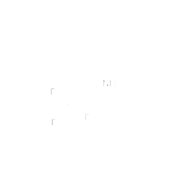 FC(F)(F)C12C=CC(C=C1)N2